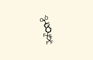 COC(=O)c1cc2cc(C(F)(F)CC(F)(F)F)ccc2s1